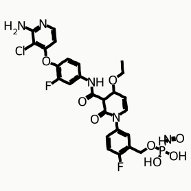 CCOC1C=CN(c2ccc(F)c(CO[PH](O)(O)N=O)c2)C(=O)C1C(=O)Nc1ccc(Oc2ccnc(N)c2Cl)c(F)c1